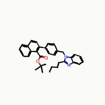 CCCCc1nc2ccccc2n1Cc1ccc(-c2ccc3ccccc3c2C(=O)OC(C)(C)C)cc1